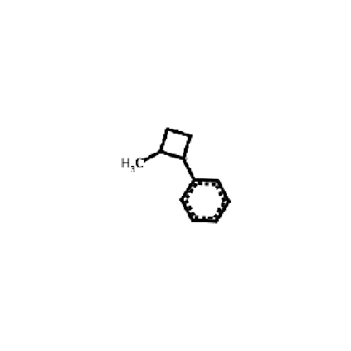 CC1CC[C]1c1ccccc1